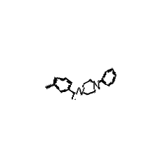 [CH2]C(c1cccc(C)c1)N1CCN(c2ccccc2)CC1